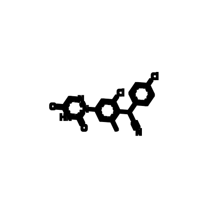 Cc1cc(-n2ncc(=O)[nH]c2=O)cc(Cl)c1C(C#N)c1ccc(Cl)cc1